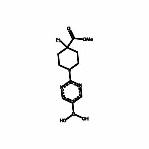 CCC1(C(=O)OC)CCN(c2ncc(B(O)O)cn2)CC1